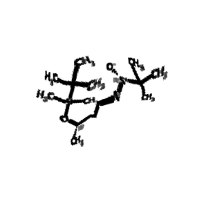 C[C@@H](CC=N[S@+]([O-])C(C)(C)C)O[Si](C)(C)C(C)(C)C